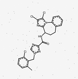 Cc1cccc(Cl)c1Cn1cnc(C(=O)NC2CCc3ccccc3-n3c2nc(Cl)c3Cl)n1